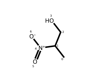 CC(CO)[N+](=O)[O-]